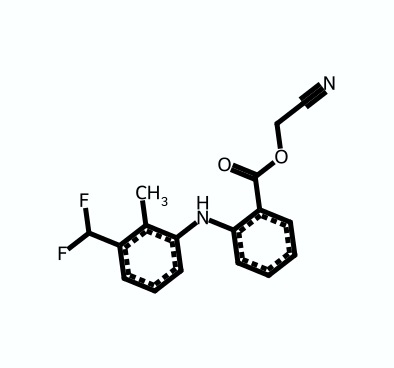 Cc1c(Nc2ccccc2C(=O)OCC#N)cccc1C(F)F